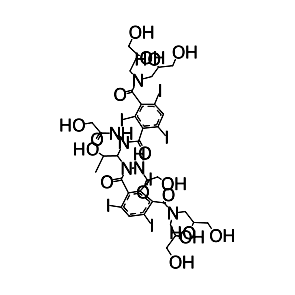 CC(O)C(N(NC(=O)CO)C(=O)c1c(I)cc(I)c(C(=O)N(CC(O)CO)CC(O)CO)c1I)N(NC(=O)CO)C(=O)c1c(I)cc(I)c(C(=O)N(CC(O)CO)CC(O)CO)c1I